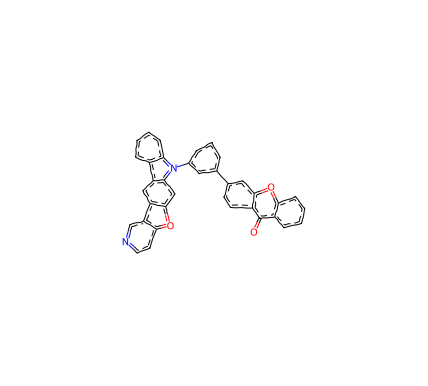 O=c1c2ccccc2oc2cc(-c3cccc(-n4c5ccccc5c5cc6c(cc54)oc4ccncc46)c3)ccc12